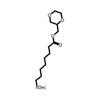 CCCCCCCCCCCCCCCCCC(=O)OCC1COCCO1